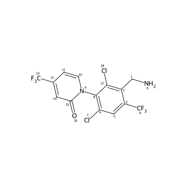 NCc1c(C(F)(F)F)cc(Cl)c(-n2ccc(C(F)(F)F)cc2=O)c1Cl